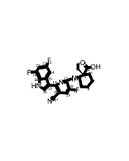 CC[C@@]1(C(=O)O)CCCC[C@H]1Nc1nc(-c2c[nH]c3c(F)cc(F)cc23)c(C#N)cc1F